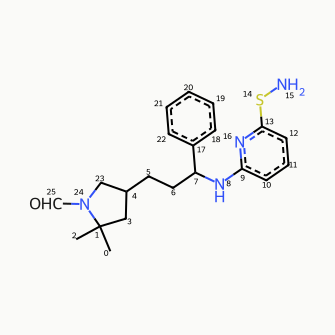 CC1(C)CC(CCC(Nc2cccc(SN)n2)c2ccccc2)CN1C=O